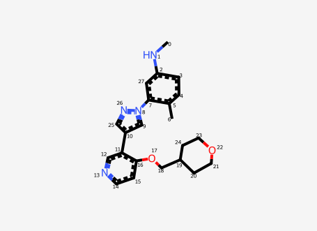 CNc1ccc(C)c(-n2cc(-c3cnccc3OCC3CCOCC3)cn2)c1